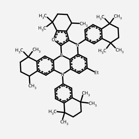 CCc1cc2c3c(c1)N(c1ccc4c(c1)C(C)(C)CCC4(C)C)c1c(oc4c1C(C)CCC4(C)C)B3c1cc3c(cc1N2c1ccc2c(c1)C(C)(C)CCC2(C)C)C(C)CCC3(C)C